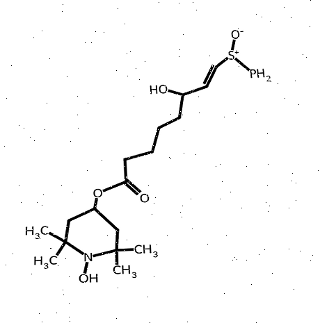 CC1(C)CC(OC(=O)CCCCC(O)/C=C/[S+]([O-])P)CC(C)(C)N1O